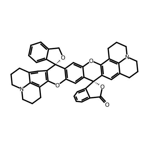 O=C1O[C@@]2(c3cc4c(cc3Oc3c2cc2c5c3CCCN5CCC2)[C@@]2(OCc3ccccc32)c2cc3c5c(c2O4)CCCN5CCC3)c2ccccc21